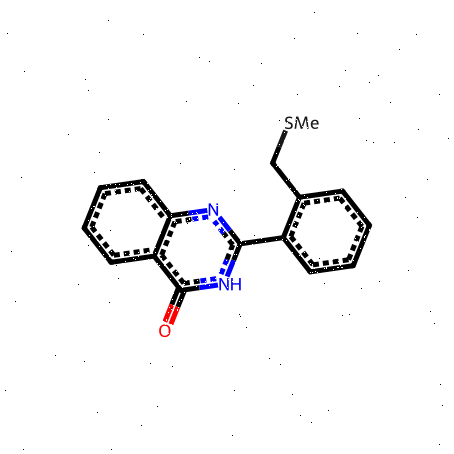 CSCc1ccccc1-c1nc2ccccc2c(=O)[nH]1